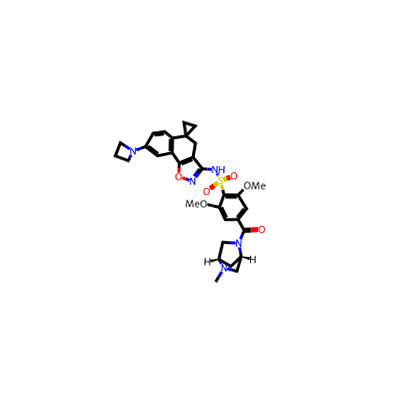 COc1cc(C(=O)N2C[C@@H]3C[C@H]2CN3C)cc(OC)c1S(=O)(=O)Nc1noc2c1CC1(CC1)c1ccc(N3CCC3)cc1-2